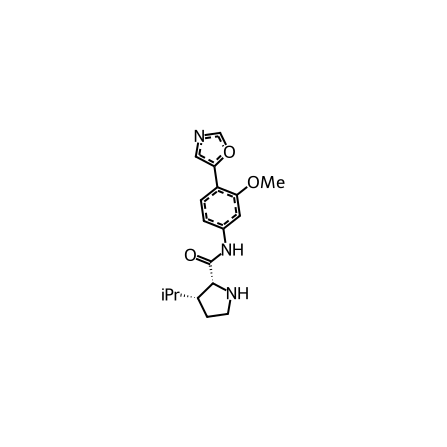 COc1cc(NC(=O)[C@@H]2NCC[C@@H]2C(C)C)ccc1-c1cnco1